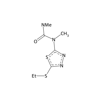 CCSc1nnc(N(C)C(=O)NC)s1